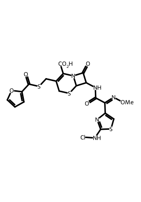 CON=C(C(=O)NC1C(=O)N2C(C(=O)O)=C(CSC(=O)c3ccco3)CSC12)c1csc(NCl)n1